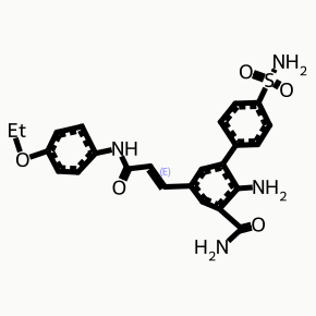 CCOc1ccc(NC(=O)/C=C/c2cc(C(N)=O)c(N)c(-c3ccc(S(N)(=O)=O)cc3)c2)cc1